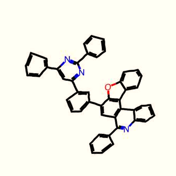 c1ccc(-c2cc(-c3cccc(-c4cc5c(-c6ccccc6)nc6ccccc6c5c5c4oc4ccccc45)c3)nc(-c3ccccc3)n2)cc1